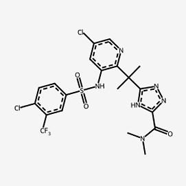 CN(C)C(=O)c1nnc(C(C)(C)c2ncc(Cl)cc2NS(=O)(=O)c2ccc(Cl)c(C(F)(F)F)c2)[nH]1